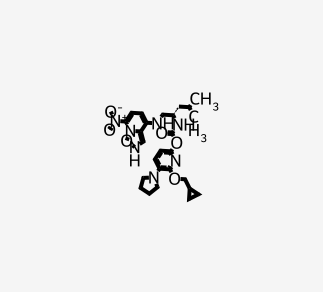 CC(C)C[C@@H](CNC1=CC=C([N+](=O)[O-])N2ONC=C12)NC(=O)Oc1ccc(N2CCCC2)c(OCC2CC2)n1